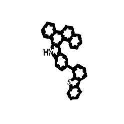 c1ccc2c(c1)ccc1c3ccccc3c3[nH]c4ccc(-c5cccc6c5sc5ccccc56)cc4c3c21